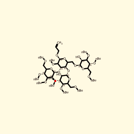 C=CCO[C@H]1OC(CO[C@@H]2OC(COCCCC)[C@@H](OCCCC)C(OCCCC)[C@@H]2O)[C@@H](O[C@@H]2OC(COCCCC)[C@@H](OCCCC)[C@H](OCCCC)C2O)[C@H](O[C@@H]2OC(COCCCC)[C@@H](OCCCC)C(OCCCC)[C@@H]2OCCCC)C1OCCCC